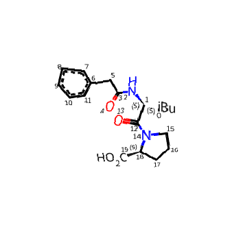 CC[C@H](C)[C@H](NC(=O)Cc1ccccc1)C(=O)N1CCC[C@H]1C(=O)O